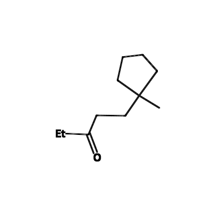 CCC(=O)CCC1(C)CCCC1